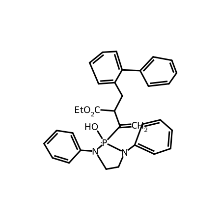 C=C(C(Cc1ccccc1-c1ccccc1)C(=O)OCC)[P]1(O)N(c2ccccc2)CCN1c1ccccc1